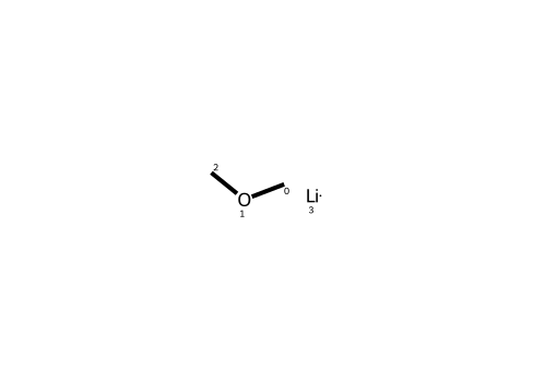 COC.[Li]